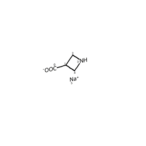 O=C([O-])C1CNC1.[Na+]